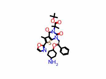 Cc1c(-c2ncco2)sc2c1c(=O)n(C(C)(C)C(=O)OC(C)(C)C)c(=O)n2C[C@H](OC1CCC(N)CC1)c1ccccc1